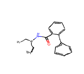 CC(C)[CH2][Al]([CH2]C(C)C)[NH]C(=O)c1ccccc1-c1ccccc1